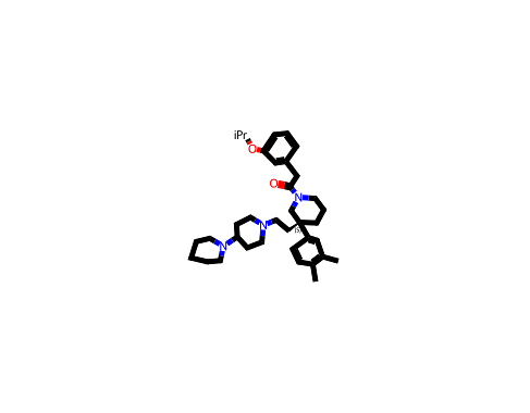 Cc1ccc([C@@]2(CCN3CCC(N4CCCCC4)CC3)CCCN(C(=O)Cc3cccc(OC(C)C)c3)C2)cc1C